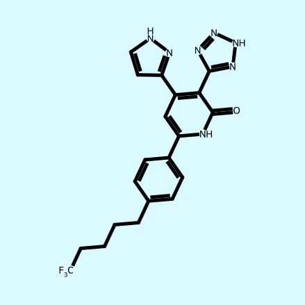 O=c1[nH]c(-c2ccc(CCCCC(F)(F)F)cc2)cc(-c2cc[nH]n2)c1-c1nn[nH]n1